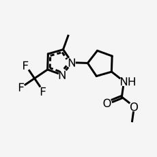 COC(=O)NC1CCC(n2nc(C(F)(F)F)cc2C)C1